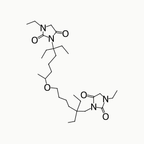 CCN1CC(=O)N(CC(CC)(CC)CCCCOC(C)CCCC(CC)(CC)N2C(=O)CN(CC)C2=O)C1=O